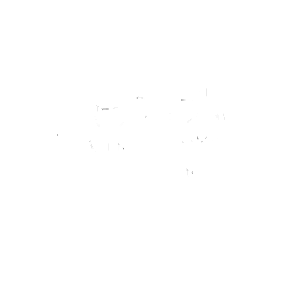 COc1cc(-c2ccc3ncc(C(=O)C4CC4)c(NC4CCC(CN5CCCC5)CC4)c3c2)cc(Cl)c1O